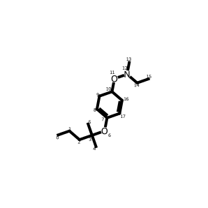 CCCC(C)(C)OC1=CCC(ON(C)CC)C=C1